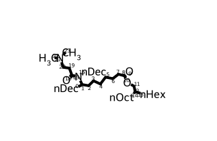 CCCCCCCCCCC(CCCCCCC(=O)OCC(CCCCCC)CCCCCCCC)N(CCCCCCCCCC)C(=O)CCN(C)C